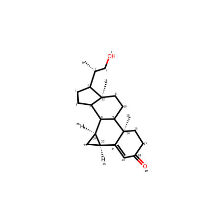 C[C@H](CO)C1CCC2C3C(CC[C@@]21C)[C@@]1(C)CCC(=O)C=C1[C@H]1C[C@@H]31